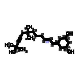 CC(C)(O)C#CCC(C)(C)CCC/C=C/C=C1C[C@@H](O)C[C@H](O)C1